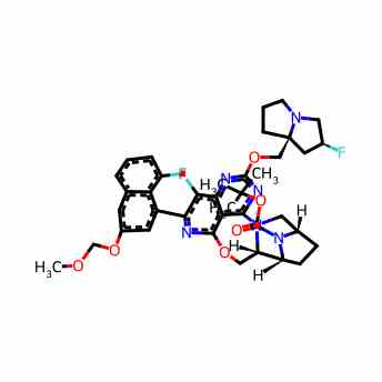 COCOc1cc(-c2nc3c4c(nc(OC[C@@]56CCCN5C[C@@H](F)C6)nc4c2F)N2C[C@@H]4CC[C@H]([C@@H]2CO3)N4C(=O)OC(C)(C)C)c2c(F)cccc2c1